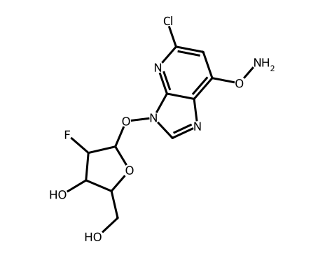 NOc1cc(Cl)nc2c1ncn2OC1OC(CO)C(O)C1F